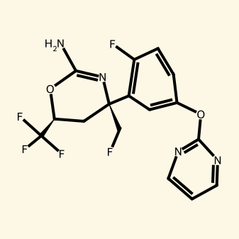 NC1=N[C@](CF)(c2cc(Oc3ncccn3)ccc2F)C[C@@H](C(F)(F)F)O1